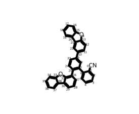 N#Cc1ccccc1-c1cc(-c2ccc3oc4ccccc4c3c2)ccc1-c1cccc2c1oc1ccccc12